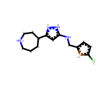 Clc1ccc(CNc2cc(C3CCCNCC3)n[nH]2)s1